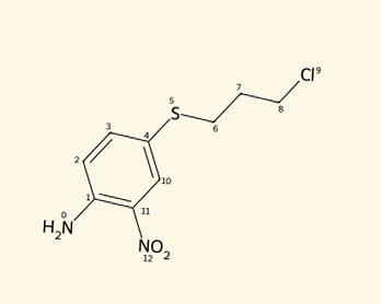 Nc1ccc(SCCCCl)cc1[N+](=O)[O-]